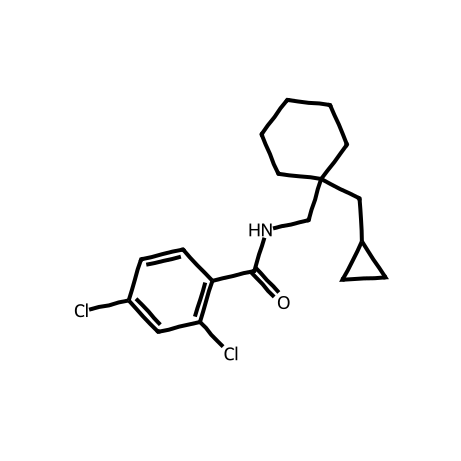 O=C(NCC1(CC2CC2)CCCCC1)c1ccc(Cl)cc1Cl